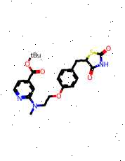 CN(CCOc1ccc(CC2SC(=O)NC2=O)cc1)c1cc(C(=O)OC(C)(C)C)ccn1